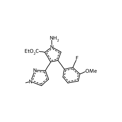 CCOC(=O)c1c(-c2ccn(C)n2)c(-c2cccc(OC)c2F)cn1N